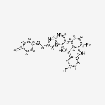 Oc1ccc(F)cc1C(O)c1cc(F)ccc1-c1cnc2nc(COc3ccc(F)cc3)cn2c1